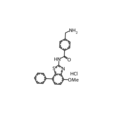 COc1ccc(-c2ccccc2)c2sc(NC(=O)c3ccc(CN)cc3)nc12.Cl